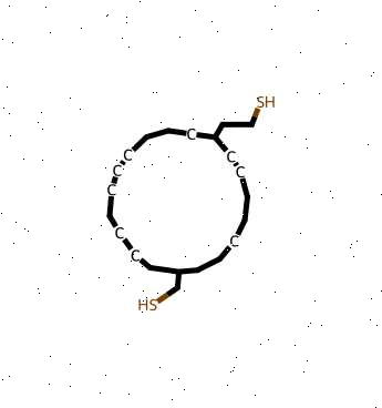 SCCC1CCCCCCCCCCC(CS)CCCCCCC1